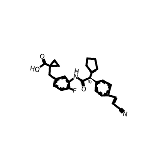 N#CC=Cc1ccc([C@@H](C(=O)Nc2cc(CC3(C(=O)O)CC3)ccc2F)C2CCCC2)cc1